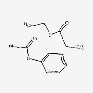 CCCC(=O)Oc1ccccc1.CCOC(=O)CC